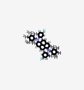 [2H]c1c([2H])c([2H])c(N(c2ccc(F)cc2)c2ccc3ccc4c(N(c5ccc(F)cc5)c5c([2H])c([2H])c([2H])c([2H])c5[2H])ccc5ccc2c3c54)c([2H])c1[2H]